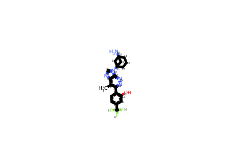 Cc1c(-c2ccc(C(F)(F)F)cc2O)nnc2c1ncn2C12CCCC(N)(C1)C2